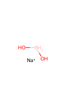 O[BH2-]O.[Na+]